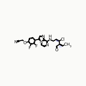 C/C=C(C=O)\C(Cl)=C/CNc1nccn2c(-c3ccc(OCC#N)c(F)c3F)cnc12